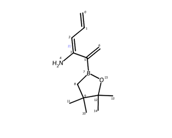 C=C/C=C(/N)C(=C)B1CC(C)(C)C(C)(C)O1